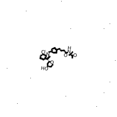 CC(=O)C(C)(C)NC(=O)CCCc1ccc(Cn2cc([C@H]3C[C@@H](O)CCO3)c3c2[C@H](Cl)CC=C3)cc1